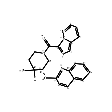 O=C(c1ncc2cccnn12)N1CCC(F)(F)[C@@H](Oc2ccc3ccccc3n2)C1